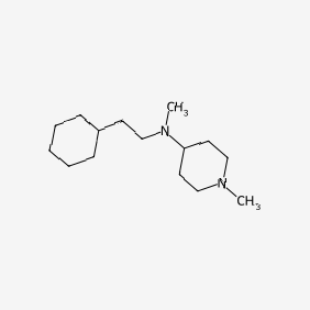 CN1CCC(N(C)CCC2CCCCC2)CC1